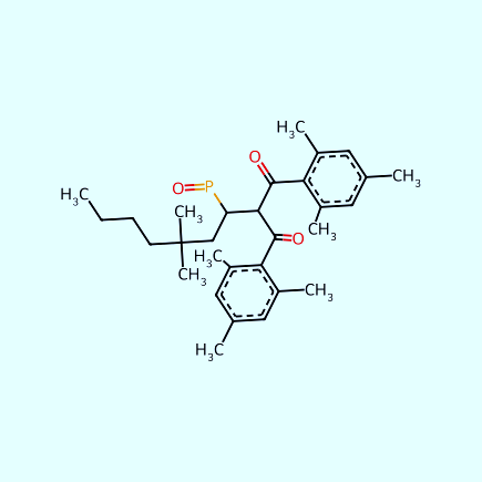 CCCCC(C)(C)CC(P=O)C(C(=O)c1c(C)cc(C)cc1C)C(=O)c1c(C)cc(C)cc1C